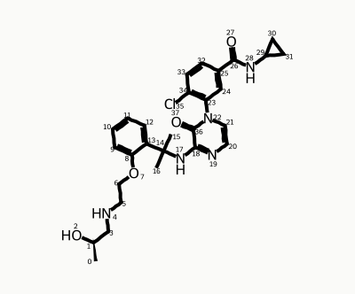 C[C@@H](O)CNCCOc1ccccc1C(C)(C)Nc1nccn(-c2cc(C(=O)NC3CC3)ccc2Cl)c1=O